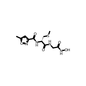 CSC[C@@H](NC(=O)c1cc(C)on1)C(=O)NCC(=O)NO